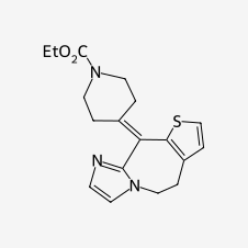 CCOC(=O)N1CCC(=C2c3sccc3CCn3ccnc32)CC1